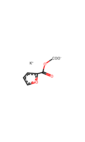 O=C([O-])OC(=O)c1ccco1.[K+]